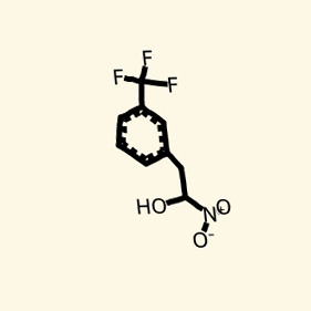 O=[N+]([O-])C(O)Cc1cccc(C(F)(F)F)c1